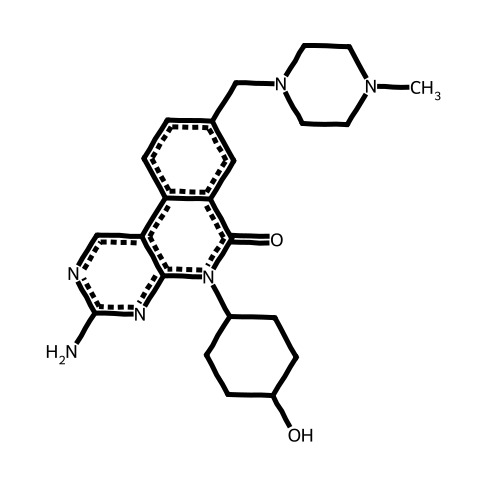 CN1CCN(Cc2ccc3c(c2)c(=O)n(C2CCC(O)CC2)c2nc(N)ncc32)CC1